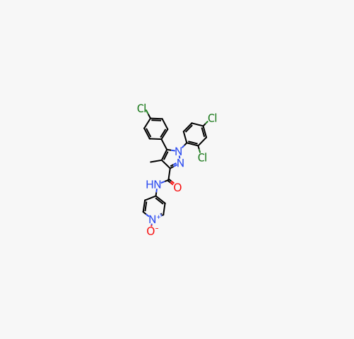 Cc1c(C(=O)Nc2cc[n+]([O-])cc2)nn(-c2ccc(Cl)cc2Cl)c1-c1ccc(Cl)cc1